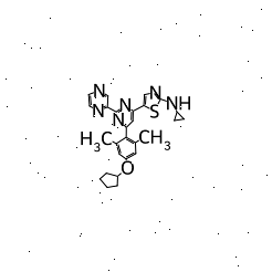 Cc1cc(OC2CCCC2)cc(C)c1-c1cc(-c2cnc(NC3CC3)s2)nc(-c2cnccn2)n1